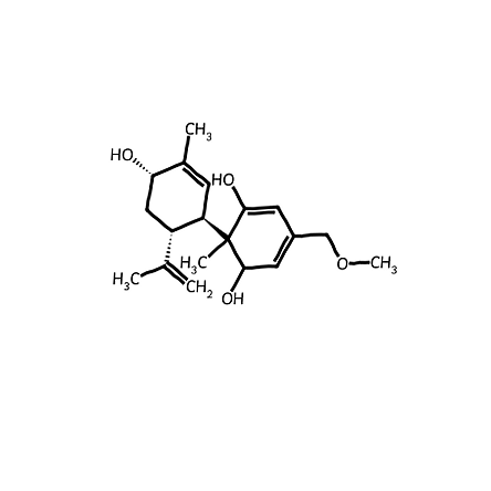 C=C(C)[C@@H]1C[C@H](O)C(C)=C[C@H]1C1(C)C(O)=CC(COC)=CC1O